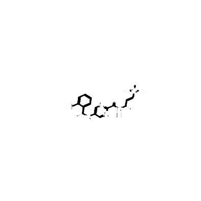 C[C@H](/C=C/S(C)(=O)=O)NC(=O)c1ncc(N[C@@H](C)c2ccccc2Cl)cn1